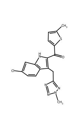 Cc1ccc(C(=O)c2[nH]c3cc(Cl)ccc3c2Cc2nnn(C)n2)s1